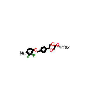 CCCCCCOC1COC(c2ccc(COc3ccc(C#N)c(F)c3F)cc2)CO1